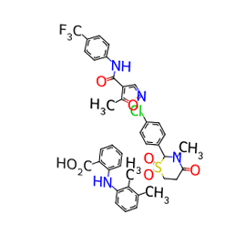 CN1C(=O)CCS(=O)(=O)C1c1ccc(Cl)cc1.Cc1cccc(Nc2ccccc2C(=O)O)c1C.Cc1oncc1C(=O)Nc1ccc(C(F)(F)F)cc1